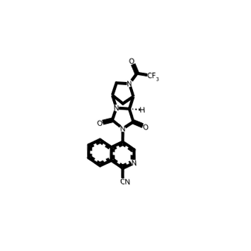 N#Cc1ncc(N2C(=O)[C@@H]3C4CC(CN4C(=O)C(F)(F)F)N3C2=O)c2ccccc12